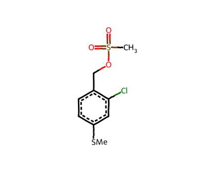 CSc1ccc(COS(C)(=O)=O)c(Cl)c1